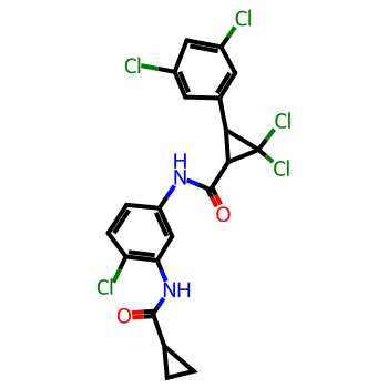 O=C(Nc1cc(NC(=O)C2C(c3cc(Cl)cc(Cl)c3)C2(Cl)Cl)ccc1Cl)C1CC1